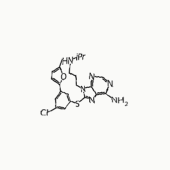 Cc1ccc(-c2cc(Cl)cc(Sc3nc4c(N)ncnc4n3CCCNC(C)C)c2)o1